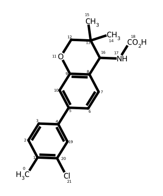 Cc1ccc(-c2ccc3c(c2)OCC(C)(C)C3NC(=O)O)cc1Cl